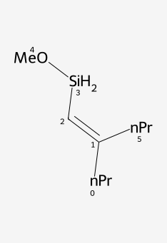 CCCC(=C[SiH2]OC)CCC